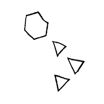 C1CC1.C1CC1.C1CC1.C1CCCCC1